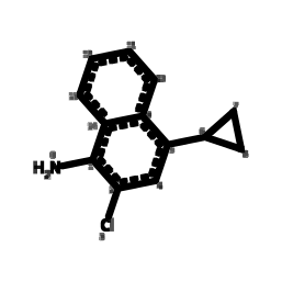 Nc1c(Cl)cc(C2CC2)c2ccccc12